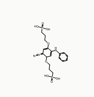 [N-]=[N+]=C1C=C(OCCCP(=O)(O)O)C(Nc2ccccc2)=CC1OCCCP(=O)(O)O